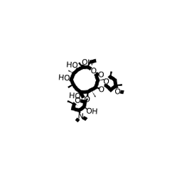 CC[C@H]1OC(=O)[C@H](C)[C@@H](O[C@H]2C[C@@](C)(OC)C[C@H](C)O2)[C@H](C)[C@@H](O[C@@H]2O[C@H](C)C[C@H](N(C)C)[C@H]2O)C(C)(O)C[C@@H](C)C(O)[C@H](C)[C@@H](O)[C@]1(C)O